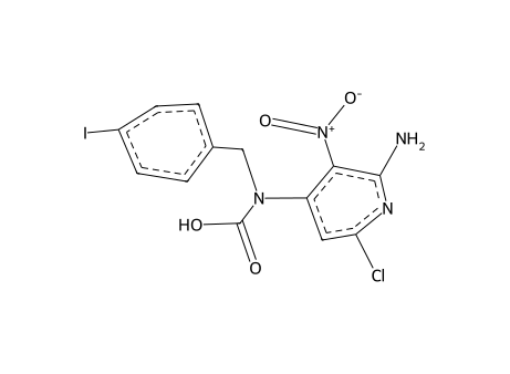 Nc1nc(Cl)cc(N(Cc2ccc(I)cc2)C(=O)O)c1[N+](=O)[O-]